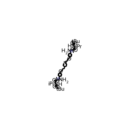 CC(C)C(NC(=O)OC(C)(C)C)C(=O)O/N=C(\N)c1ccc(OCCCC2CCN(CCCOc3ccc(/C(N)=N/OC(=O)[C@@H](NC(=O)OC(C)(C)C)C(C)C)cc3)CC2)cc1